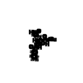 CC(C)(C)NC(=O)C(=O)[C@H](C[C@@H]1CCNC1=O)NC(=O)CNC(=O)c1cc2ccccc2s1